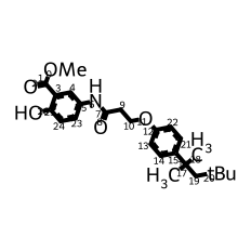 COC(=O)c1cc(NC(=O)CCOc2ccc(C(C)(C)CC(C)(C)C)cc2)ccc1O